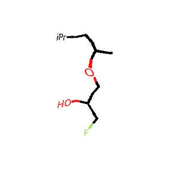 CC(C)CC(C)OCC(O)CF